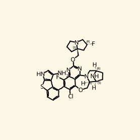 Nc1c[nH]c2sc3cccc(-c4c(Cl)c5c6c(nc(OC[C@@]78CCCN7C[C@H](F)C8)nc6c4F)N4C[C@H]6CC[C@H](N6)[C@H]4CO5)c3c12